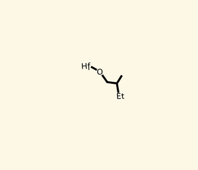 CCC(C)C[O][Hf]